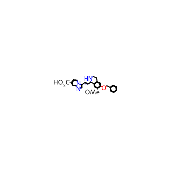 COc1cc2c(cc1OCc1ccccc1)CCNC2/C=C/c1cnc2cc(C(=O)O)ccn12